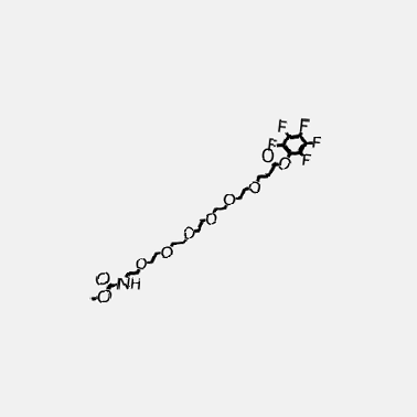 COC(=O)NCCOCCOCCOCCOCCOCCOCCC(=O)Oc1c(F)c(F)c(F)c(F)c1F